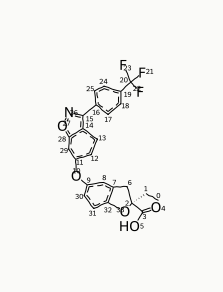 CC[C@@]1(C(=O)O)Cc2cc(Oc3ccc4c(-c5ccc(C(F)(F)F)cc5)noc4c3)ccc2O1